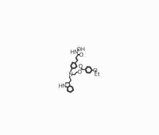 CCOc1ccc(C(=O)OCCN(CCC2CNc3ccccc32)Cc2ccc(/C=C/C(=O)NO)cc2)cc1